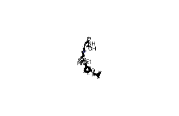 CC[C@@H](NS(=O)(=O)CC/C=C/CN1CC(=O)NC1O)c1cccc(OCC2CC2)c1